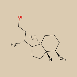 C[C@H](CCO)[C@H]1CC[C@H]2[C@H](C)CCC[C@]12C